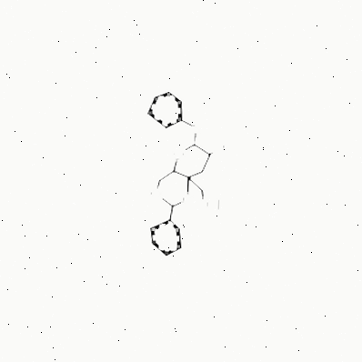 OCC12CC(O)[C@H](Sc3ccccc3)OC1COC(c1ccccc1)O2